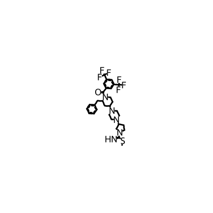 CSC(=N)N1CCC(N2CCN(C3CCN(C(=O)c4cc(C(F)(F)F)cc(C(F)(F)F)c4)C(Cc4ccccc4)C3)CC2)C1